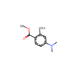 CCCCCCCCc1cc(N(C)C)ccc1C(=O)ON=O